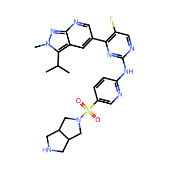 CC(C)c1c2cc(-c3nc(Nc4ccc(S(=O)(=O)N5CC6CNCC6C5)cn4)ncc3F)cnc2nn1C